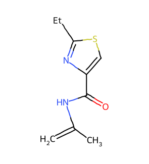 C=C(C)NC(=O)c1csc(CC)n1